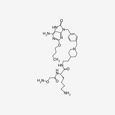 CCCCOc1nc(N)c2[nH]c(=O)n(Cc3ccc(CN4CCC(CCNC(=O)[C@@H](CCCCN)NC(=O)CON)CC4)cc3)c2n1